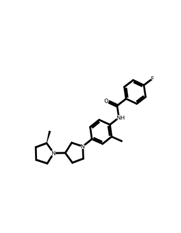 Cc1cc(N2CCC(N3CCC[C@H]3C)C2)ccc1NC(=O)c1ccc(F)cc1